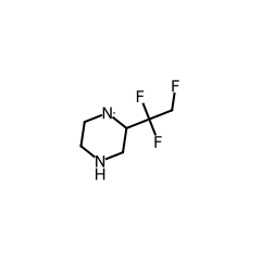 FCC(F)(F)C1CNCC[N]1